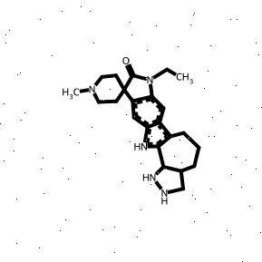 CCN1C(=O)C2(CCN(C)CC2)c2cc3[nH]c4c(c3cc21)CCCC1CNNC41